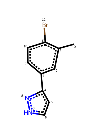 Cc1cc(-c2cc[nH]n2)ccc1Br